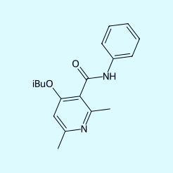 Cc1cc(OCC(C)C)c(C(=O)Nc2ccccc2)c(C)n1